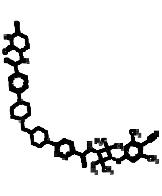 Cc1cc(O[C@H]2C(C)(C)[C@H](NC(=O)c3ccc(N4CCC(CN5CCN(c6ccc(C(=O)NC7CCC(=O)NC7=O)cc6)CC5)CC4)nn3)C2(C)C)cc(C)c1C#N